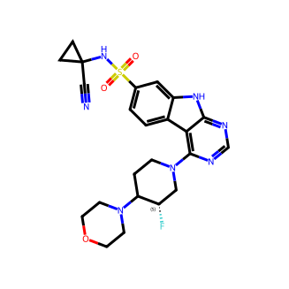 N#CC1(NS(=O)(=O)c2ccc3c(c2)[nH]c2ncnc(N4CCC(N5CCOCC5)[C@@H](F)C4)c23)CC1